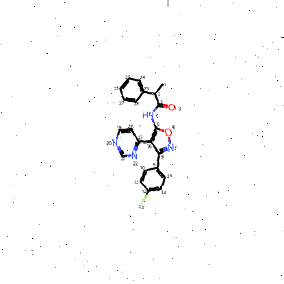 CC(C(=O)Nc1onc(-c2ccc(F)cc2)c1-c1ccncn1)c1ccccc1